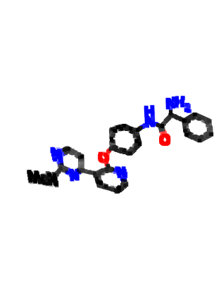 CNc1nccc(-c2cccnc2Oc2ccc(NC(=O)C(N)c3ccccc3)cc2)n1